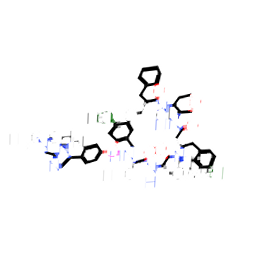 COC[C@H](NC(=O)[C@H](C)NCc1ccc(Cl)cc1Oc1ccc(-c2cnc(CN(C)C)n2C)cc1)C(=O)N(C)[C@H](CC(=O)NC1COCCC1N(C)C(=O)[C@@H](CC(=O)O)Cc1ccccc1)Cc1ccc(Cl)cc1